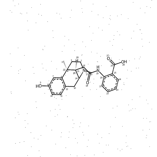 CN1CC[C@]2(C)c3cc(O)ccc3CC1[C@@H]2CC(=O)Nc1ccccc1C(=O)O